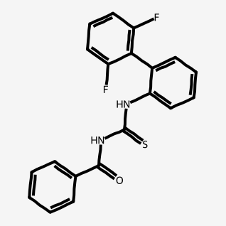 O=C(NC(=S)Nc1ccccc1-c1c(F)cccc1F)c1ccccc1